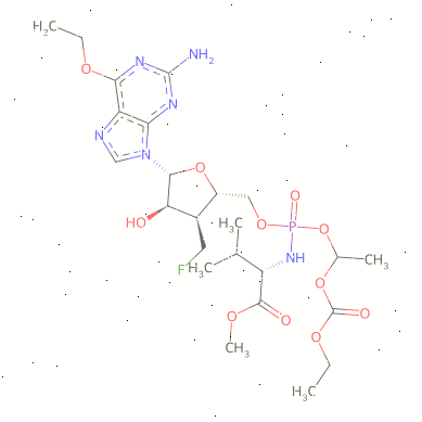 CCOC(=O)OC(C)OP(=O)(N[C@H](C(=O)OC)C(C)C)OC[C@H]1O[C@@H](n2cnc3c(OCC)nc(N)nc32)[C@H](O)[C@@H]1CF